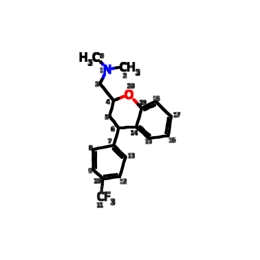 CN(C)CC1CC(c2ccc(C(F)(F)F)cc2)c2ccccc2O1